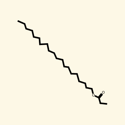 C[CH]C(=O)OCCCCCCCCCCCCCCCCCCCC